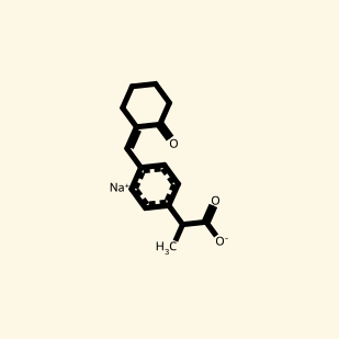 CC(C(=O)[O-])c1ccc(/C=C2/CCCCC2=O)cc1.[Na+]